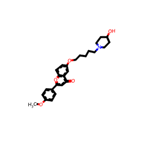 COc1ccc(-c2cc(=O)c3cc(OCCCCCN4CCC(O)CC4)ccc3o2)cc1